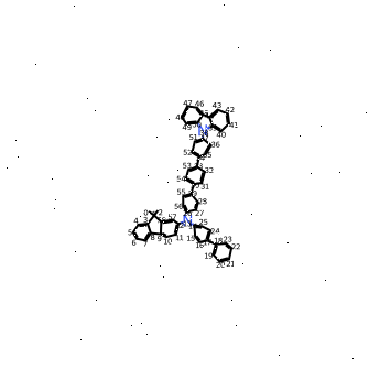 CC1(C)c2ccccc2-c2ccc(N(c3ccc(-c4ccccc4)cc3)c3ccc(-c4ccc(-c5ccc(-n6c7ccccc7c7ccccc76)cc5)cc4)cc3)cc21